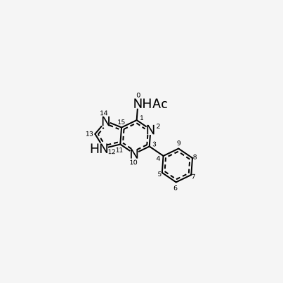 CC(=O)Nc1nc(-c2ccccc2)nc2[nH]cnc12